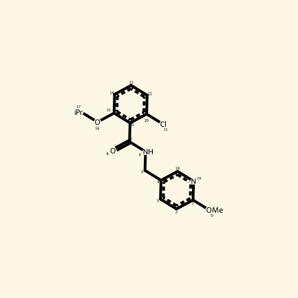 COc1ccc(CNC(=O)c2c(Cl)cccc2OC(C)C)cn1